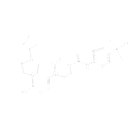 O=C(Nc1ccc(C(F)(F)F)cc1)N1CCN(C(=O)[C@H]2CN(C3CCC3)CCN2C(=O)O)CC1